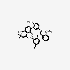 COc1ccccc1COc1ccc(OC)c(-c2ccc3c(c2COc2cc(F)ccc2C)C(C)=CC(C)(C)N3)c1